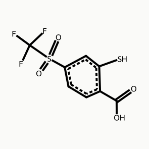 O=C(O)c1ccc(S(=O)(=O)C(F)(F)F)cc1S